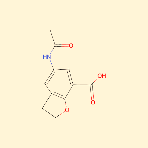 CC(=O)Nc1cc2c(c(C(=O)O)c1)OCC2